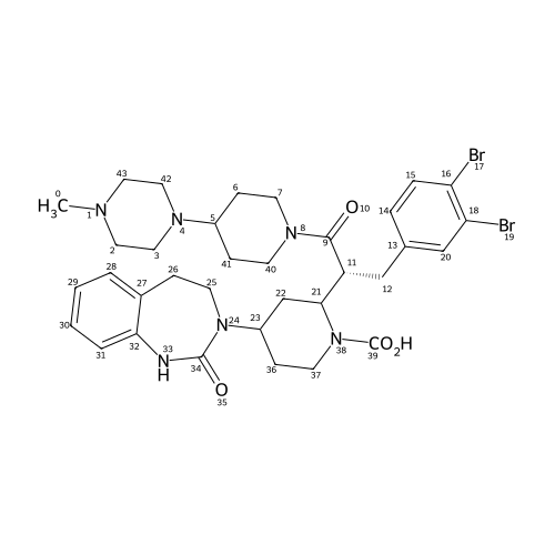 CN1CCN(C2CCN(C(=O)[C@H](Cc3ccc(Br)c(Br)c3)C3CC(N4CCc5ccccc5NC4=O)CCN3C(=O)O)CC2)CC1